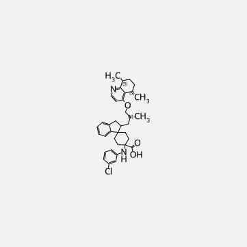 C[C@@H](COc1ccnc2c1[C@@H](C)CC[C@@H]2C)CC1Cc2ccccc2C12CCC(Nc1cccc(Cl)c1)(C(=O)O)CC2